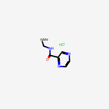 CNCNC(=O)c1cnccn1.Cl